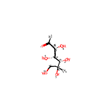 [2H]C(=O)[C@H](O)[C@@H](O)[C@H](O)[C@](C)(O)CO